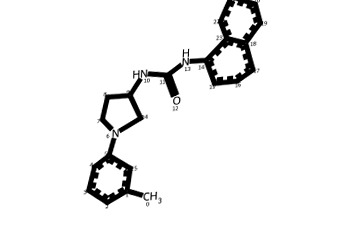 Cc1cccc(N2CCC(NC(=O)Nc3cccc4ccccc34)C2)c1